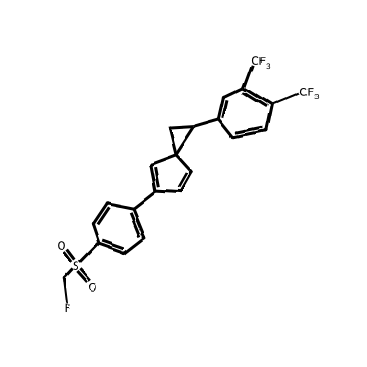 O=S(=O)(CF)c1ccc(C2=CC3(C=C2)CC3c2ccc(C(F)(F)F)c(C(F)(F)F)c2)cc1